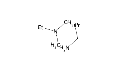 CC(C)CN.CCN(C)C